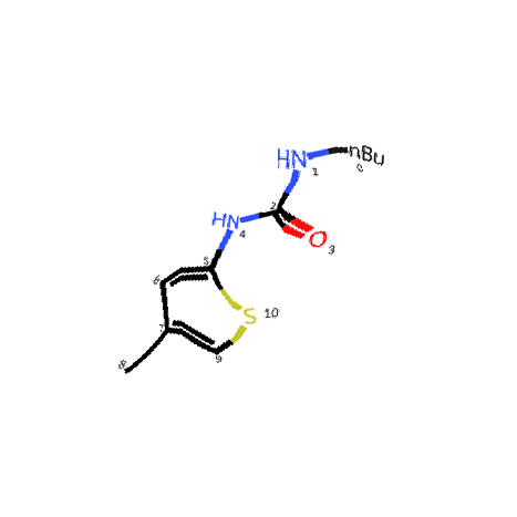 CCCCNC(=O)Nc1cc(C)cs1